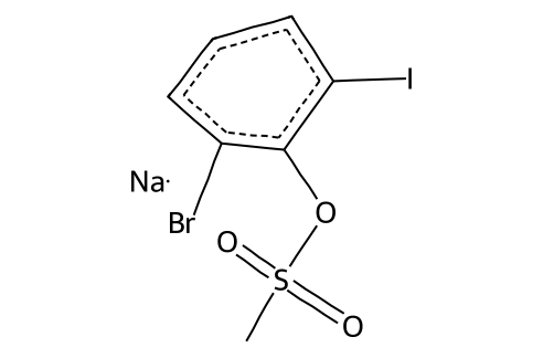 CS(=O)(=O)Oc1c(Br)cccc1I.[Na]